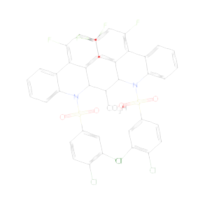 O=C(O)C(C1c2cc(F)cc(F)c2-c2ccccc2N1S(=O)(=O)c1ccc(Cl)c(Cl)c1)C1c2cc(F)cc(F)c2-c2ccccc2N1S(=O)(=O)c1ccc(Cl)c(Cl)c1